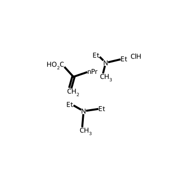 C=C(CCC)C(=O)O.CCN(C)CC.CCN(C)CC.Cl